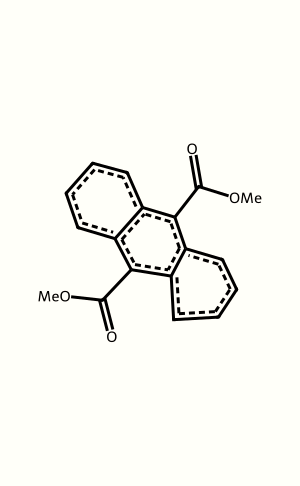 COC(=O)c1c2ccccc2c(C(=O)OC)c2ccccc12